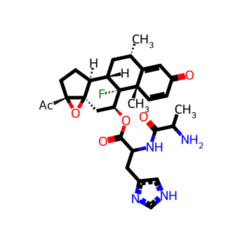 CC(=O)[C@@]12CC[C@H]3[C@@H]4C[C@H](C)C5=CC(=O)C=C[C@]5(C)[C@@]4(F)[C@@H](OC(=O)C(Cc4c[nH]cn4)NC(=O)C(C)N)C[C@@]31O2